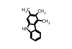 Cc1cc2[nH]c3ccccc3c2c(C)c1C